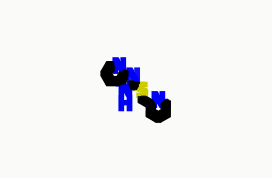 c1ccc(CSc2nc3ncccc3[nH]2)nc1